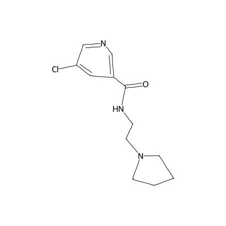 O=C(NCCN1CCCC1)c1cncc(Cl)c1